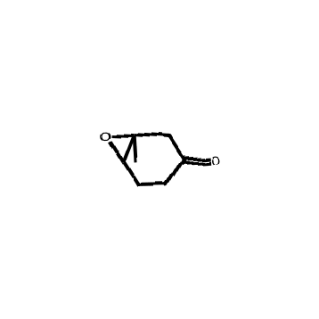 CC12CC(=O)CCC1O2